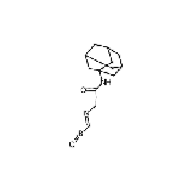 O=B/C=N/CC(=O)NC12CC3CC(CC(C3)C1)C2